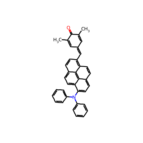 CC1=CC(=Cc2ccc3ccc4c(N(c5ccccc5)c5ccccc5)ccc5ccc2c3c54)C=C(C)C1=O